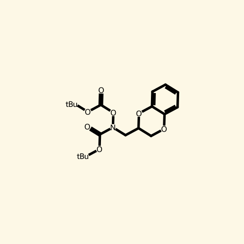 CC(C)(C)OC(=O)ON(CC1COc2ccccc2O1)C(=O)OC(C)(C)C